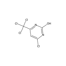 Oc1nc(Cl)cc(C(Cl)(Cl)Cl)n1